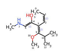 C\C=C/C(C(/O)=C/NC)=C(/OC)C(C)C